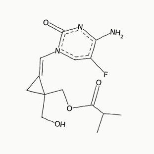 CC(C)C(=O)OCC1(CO)C/C1=C/n1cc(F)c(N)nc1=O